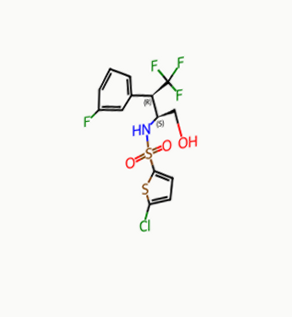 O=S(=O)(N[C@H](CO)[C@@H](c1cccc(F)c1)C(F)(F)F)c1ccc(Cl)s1